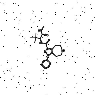 CNC(=O)[C@@H](NC(=O)c1nc(-c2ccccc2)n2c1CCNCC2)C(C)(C)C